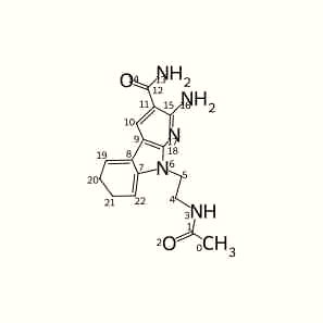 CC(=O)NCCn1c2c(c3cc(C(N)=O)c(N)nc31)=CCCC=2